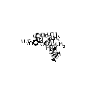 C=C[C@@H]1C[C@]1(NC(=O)C1CC(Oc2nc3c(c4cc(OC)ccc24)OCCN3C)CN1C(=O)OC(C)(C)C)C(=O)NS(=O)(=O)C1CC1